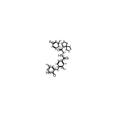 CCC1(CC)CC[C@@H](C2(C)C=C(F)C=CC2)N1C(=O)CNC(=O)c1ccc(Cc2cc(C)n[nH]c2=O)c(C)c1